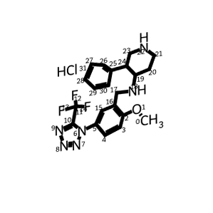 COc1ccc(-n2nnnc2C(F)(F)F)cc1CNC1CCNCC1c1ccccc1.Cl